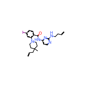 C=CCCNc1nccc(NC(=O)c2ccc(I)cc2N2CCC(C)(CC=C)CC2)n1